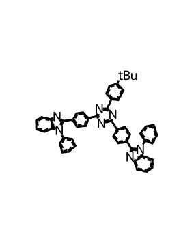 CC(C)(C)c1ccc(-c2nc(-c3ccc(-c4nc5ccccc5n4-c4ccccc4)cc3)nc(-c3ccc(-c4nc5ccccc5n4-c4ccccc4)cc3)n2)cc1